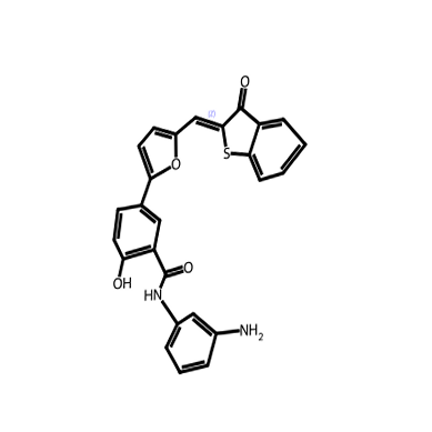 Nc1cccc(NC(=O)c2cc(-c3ccc(/C=C4\Sc5ccccc5C4=O)o3)ccc2O)c1